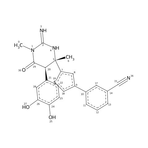 CN1C(=N)N[C@](C)(c2cc(-c3cccc(C#N)c3)cs2)[C@@H](c2ccc(O)c(O)c2)C1=O